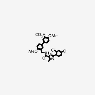 COc1ccc(-c2ccc(OC)c(C(=O)O)c2)cc1CNC(=O)c1sc(-c2ccc(Cl)cc2Cl)nc1C